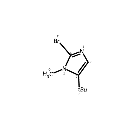 Cn1c(C(C)(C)C)cnc1Br